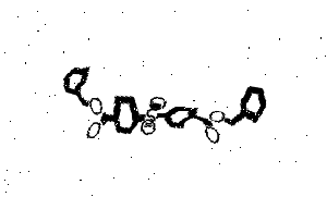 O=C(OCc1ccccc1)C1=CC=C(S(=O)(=O)C2=CC=C(C(=O)OCc3ccccc3)CC2)CC1